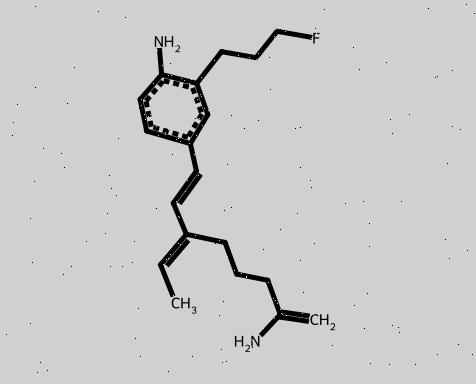 C=C(N)CCCC(/C=C/c1ccc(N)c(CCCF)c1)=C\C